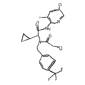 O=C(Nc1ncc(Cl)cc1F)C(C1CC1)N(Cc1ccc(C(F)(F)F)cc1)C(=O)CCl